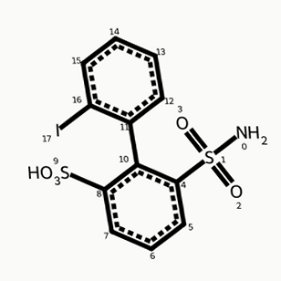 NS(=O)(=O)c1cccc(S(=O)(=O)O)c1-c1ccccc1I